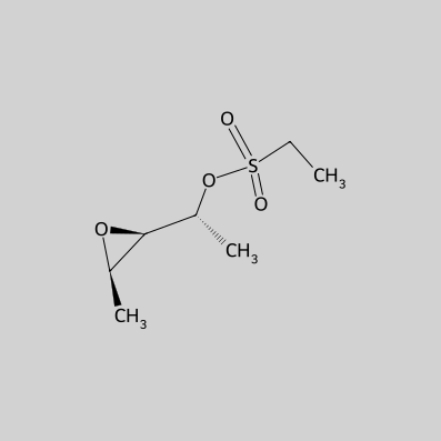 CCS(=O)(=O)O[C@H](C)[C@@H]1O[C@@H]1C